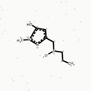 CCC[S+]([O-])Cc1cc(O)n(C)n1